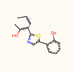 C/C=C\C(=C(/C)O)c1ncc(-c2ccccc2O)s1